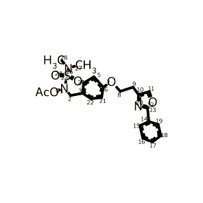 CC(=O)ON(Cc1ccc(OCCc2coc(-c3ccccc3)n2)cc1)S(=O)(=O)N(C)C